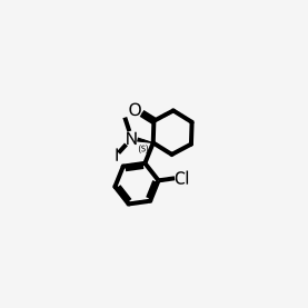 CN(I)[C@]1(c2ccccc2Cl)CCCCC1=O